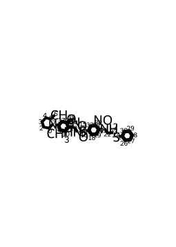 CC1CCCC(C)N1c1ccc2c(NS(=O)(=O)c3ccc(NCCSc4ccccc4)c([N+](=O)[O-])c3)noc2c1